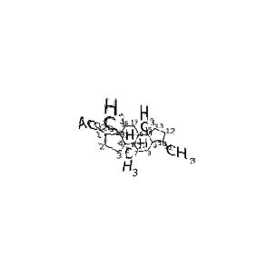 CC(=O)[C@@H]1CC[C@]2(C)[C@H]3CCC4=C(C)CC[C@@]4(C)[C@@H]3CC[C@@]12C